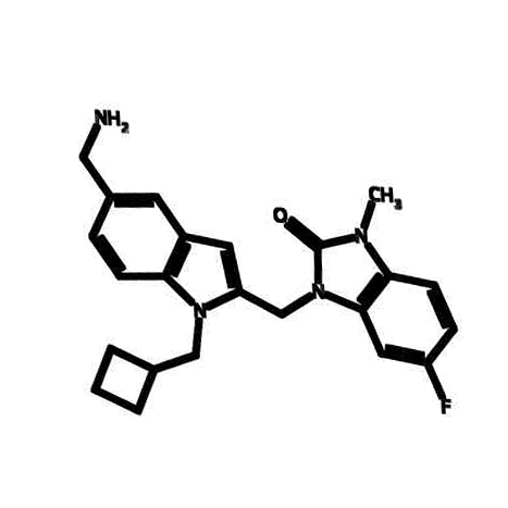 Cn1c(=O)n(Cc2cc3cc(CN)ccc3n2CC2CCC2)c2cc(F)ccc21